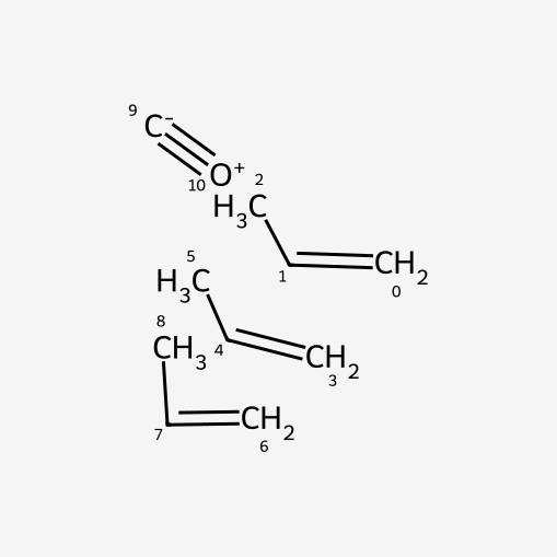 C=CC.C=CC.C=CC.[C-]#[O+]